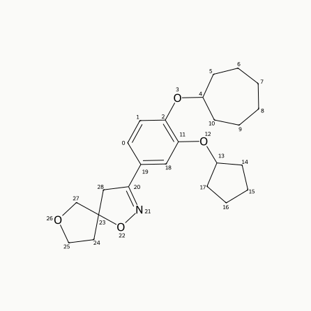 c1cc(OC2CCCCCC2)c(OC2CCCC2)cc1C1=NOC2(CCOC2)C1